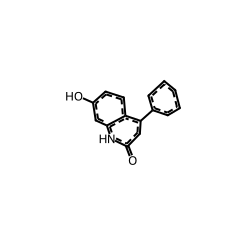 O=c1cc(-c2ccccc2)c2ccc(O)cc2[nH]1